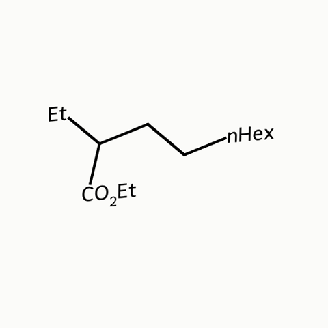 CCCCCCCCC(CC)C(=O)OCC